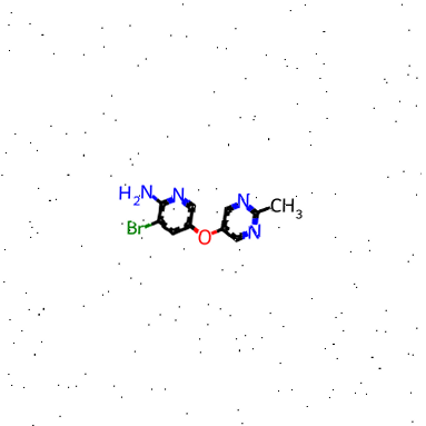 Cc1ncc(Oc2cnc(N)c(Br)c2)cn1